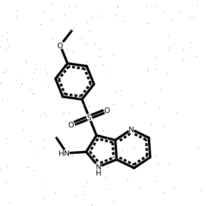 CNc1[nH]c2cccnc2c1S(=O)(=O)c1ccc(OC)cc1